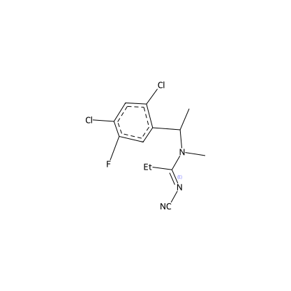 CC/C(=N\C#N)N(C)C(C)c1cc(F)c(Cl)cc1Cl